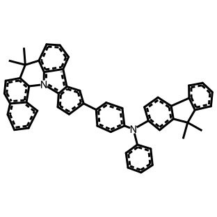 CC1(C)c2ccccc2-c2ccc(N(c3ccccc3)c3ccc(-c4ccc5c(c4)c4cccc6c4n5-c4c(ccc5ccccc45)C6(C)C)cc3)cc21